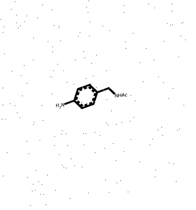 CC(=O)NCc1ccc(N)cc1